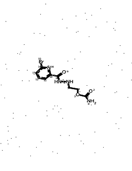 NC(=O)OCCNNC(=O)c1cccc(Br)n1